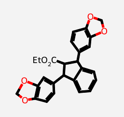 CCOC(=O)C1C(c2ccc3c(c2)OCO3)c2ccccc2C1c1ccc2c(c1)OCO2